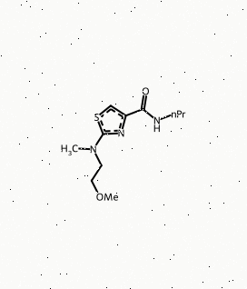 CCCNC(=O)c1csc(N(C)CCOC)n1